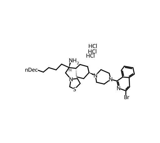 CCCCCCCCCCCCCC[C@@](N)(CN1CCSC1)[C@H]1CC[C@H](N2CCN(c3nc(Br)cc4ccccc34)CC2)CC1.Cl.Cl.Cl